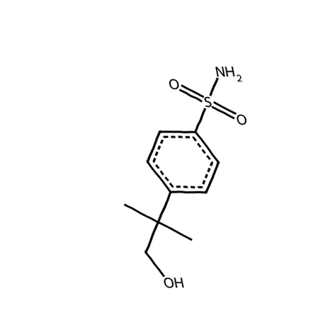 CC(C)(CO)c1ccc(S(N)(=O)=O)cc1